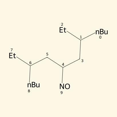 CCCCC(CC)CC(CC(CC)CCCC)N=O